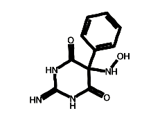 N=C1NC(=O)C(NO)(c2ccccc2)C(=O)N1